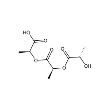 C[C@H](O)C(=O)O[C@@H](C)C(=O)O[C@@H](C)C(=O)O